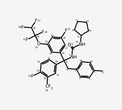 Cc1ccc(CC(NC(=O)NC2CCCC2)(c2cc(F)cc(OC(F)(F)C(F)F)c2)c2ccc(F)c(C(F)(F)F)c2)cc1